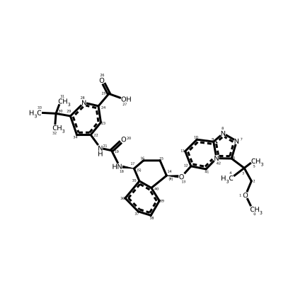 COCC(C)(C)c1nnc2ccc(O[C@@H]3CC[C@H](NC(=O)Nc4cc(C(=O)O)nc(C(C)(C)C)c4)c4ccccc43)cn12